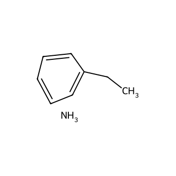 CCc1ccccc1.N